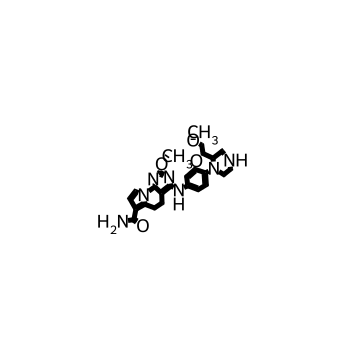 COCC(=O)C1CNCCN1c1ccc(Nc2nc(OC)nc3c2CCc2c(C(N)=O)ccn2-3)cc1